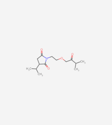 CC(C)C(=O)COCCN1C(=O)CC(C(C)C)C1=O